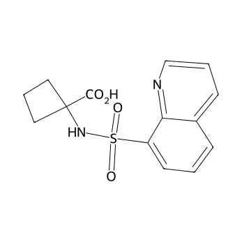 O=C(O)C1(NS(=O)(=O)c2cccc3cccnc23)CCC1